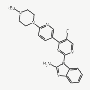 CC(C)(C)N1CCN(c2ccc(-c3nc(-n4c(N)nc5ccccc54)ncc3F)cn2)CC1